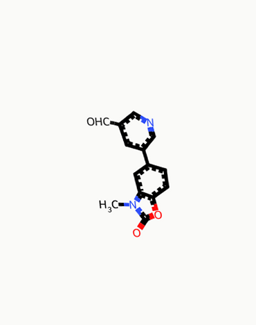 Cn1c(=O)oc2ccc(-c3cncc(C=O)c3)cc21